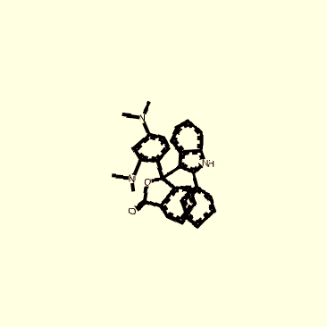 CN(C)c1ccc(C2(c3c(-c4ccccc4)[nH]c4ccccc34)OC(=O)c3ccccc32)c(N(C)C)c1